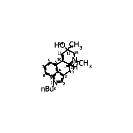 CCCCn1cc2c3c(cccc31)C1=C[C@](C)(O)CN(C)[C@@H]1C2